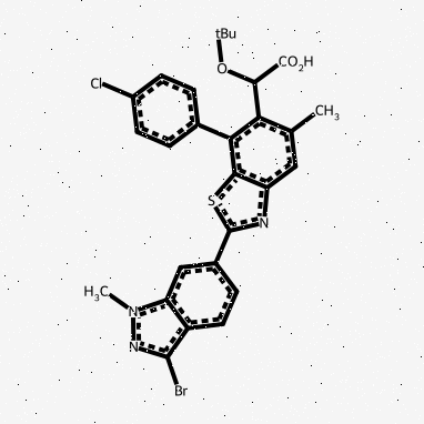 Cc1cc2nc(-c3ccc4c(Br)nn(C)c4c3)sc2c(-c2ccc(Cl)cc2)c1C(OC(C)(C)C)C(=O)O